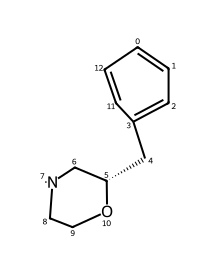 c1ccc(C[C@H]2C[N]CCO2)cc1